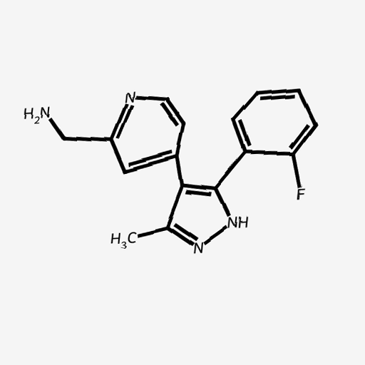 Cc1n[nH]c(-c2ccccc2F)c1-c1ccnc(CN)c1